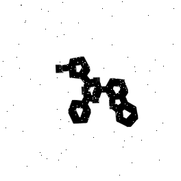 Brc1cccc(-c2nc(-c3ccccc3)nc(-c3cccc4c3sc3ccccc34)n2)c1